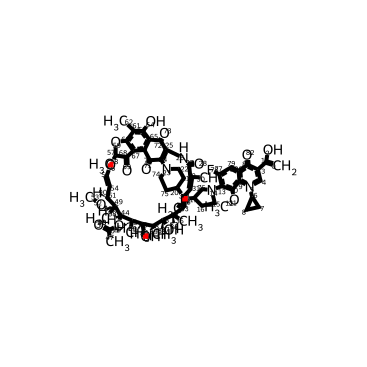 C=C(O)c1cn(C2CC2)c2c(OC)c(N3CCC(N(C)C4CCN(C5=C6NC(=O)/C(C)=C\C=C\[C@H](C)[C@H](O)[C@@H](C)[C@@H](O)[C@@H](C)[C@H](OC(C)=O)[C@H](C)[C@@H](OC)/C=C/O[C@@]7(C)Oc8c(C)c(O)c(c(c8C7=O)C5=O)C6=O)CC4)C3)c(F)cc2c1=O